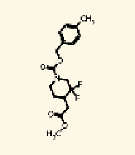 COC(=O)CC1CCN(C(=O)OCc2ccc(C)cc2)CC1(F)F